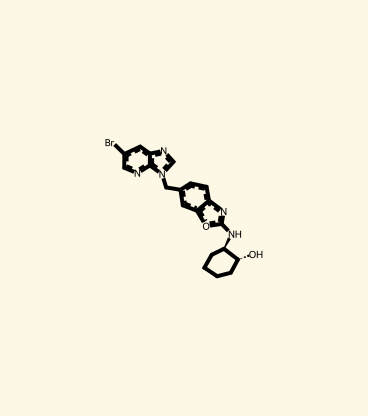 O[C@@H]1CCCC[C@H]1Nc1nc2ccc(Cn3cnc4cc(Br)cnc43)cc2o1